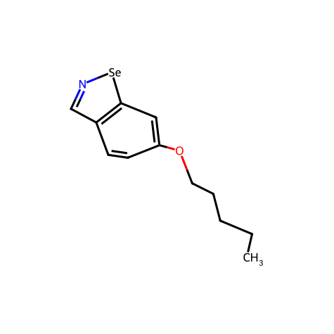 CCCCCOc1ccc2cn[se]c2c1